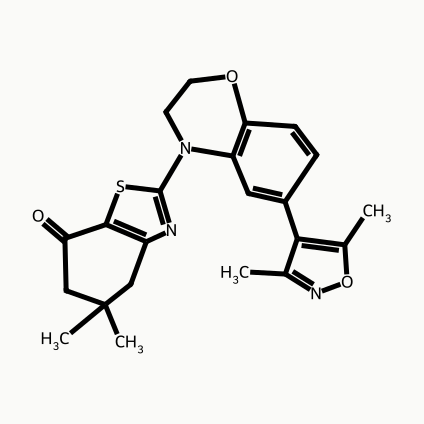 Cc1noc(C)c1-c1ccc2c(c1)N(c1nc3c(s1)C(=O)CC(C)(C)C3)CCO2